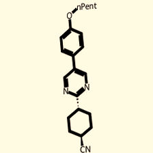 CCCCCOc1ccc(-c2cnc([C@H]3CC[C@H](C#N)CC3)nc2)cc1